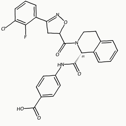 O=C(O)c1ccc(NC(=O)[C@H]2c3ccccc3CCN2C(=O)C2CC(c3cccc(Cl)c3F)=NO2)cc1